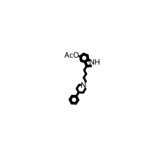 CC(=O)Oc1ccc2[nH]cc(CCCCN3CCC(c4ccccc4)CC3)c2c1